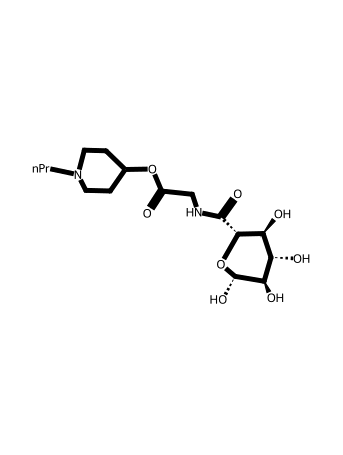 CCCN1CCC(OC(=O)CNC(=O)[C@H]2O[C@@H](O)[C@H](O)[C@@H](O)[C@@H]2O)CC1